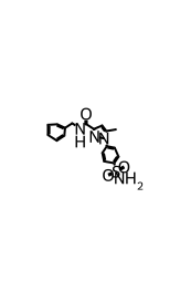 Cc1cc(C(=O)NCc2ccccc2)nn1-c1ccc(S(N)(=O)=O)cc1